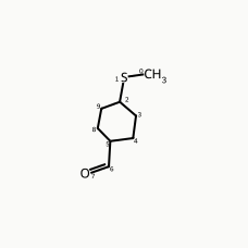 CSC1CCC(C=O)CC1